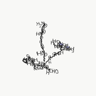 CNCC(=O)N[C@@H](CSSC[C@H](NC(=O)[C@H](CCCCNC(=O)CCCC(=O)NCCC(CCNC(C)(C)/C(C)=N\O)CCNC(C)(C)/C(C)=N\O)NCCSCC(=O)NCCOCCOCCOCCNC(=O)COCC(N)=O)C(=O)NCC(=O)NCC=O)C(=O)N[C@@H](Cc1ccccc1)C(N)=O